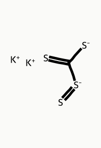 S=[S-]C(=S)[S-].[K+].[K+]